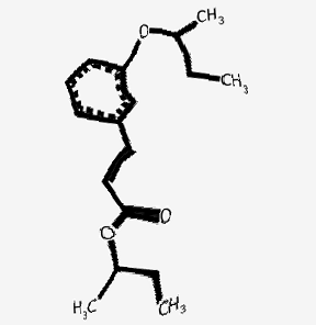 CCC(C)OC(=O)C=Cc1cccc(OC(C)CC)c1